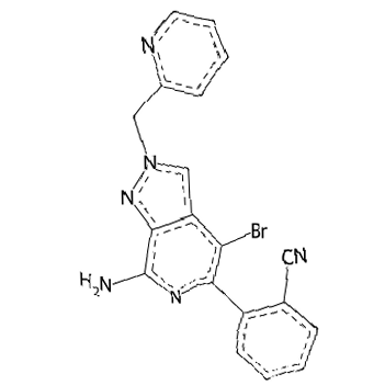 N#Cc1ccccc1-c1nc(N)c2nn(Cc3ccccn3)cc2c1Br